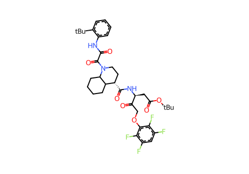 CC(C)(C)OC(=O)C[C@H](NC(=O)[C@H]1CCN(C(=O)C(=O)Nc2ccccc2C(C)(C)C)C2CCCCC21)C(=O)COc1c(F)c(F)cc(F)c1F